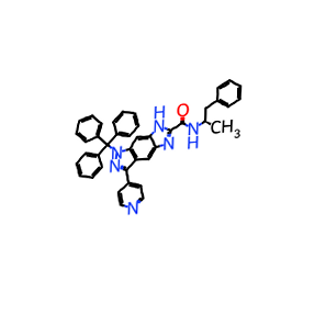 C[C@H](Cc1ccccc1)NC(=O)c1nc2cc3c(-c4ccncc4)nn(C(c4ccccc4)(c4ccccc4)c4ccccc4)c3cc2[nH]1